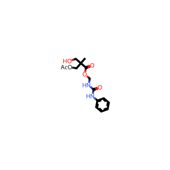 CC(=O)OCC(C)(CO)C(=O)OCNC(=O)Nc1ccccc1